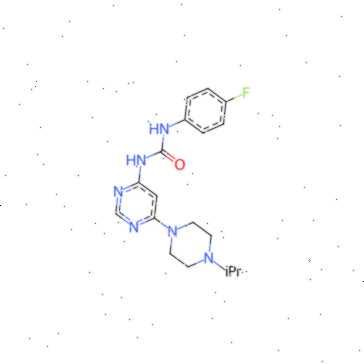 CC(C)N1CCN(c2cc(NC(=O)Nc3ccc(F)cc3)ncn2)CC1